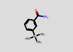 CCC[CH2][Sn]([CH2]CCC)([CH2]CCC)[c]1cccc(C(N)=O)c1